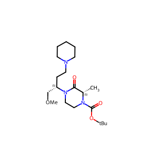 COC[C@H](CCN1CCCCC1)N1CCN(C(=O)OC(C)(C)C)[C@@H](C)C1=O